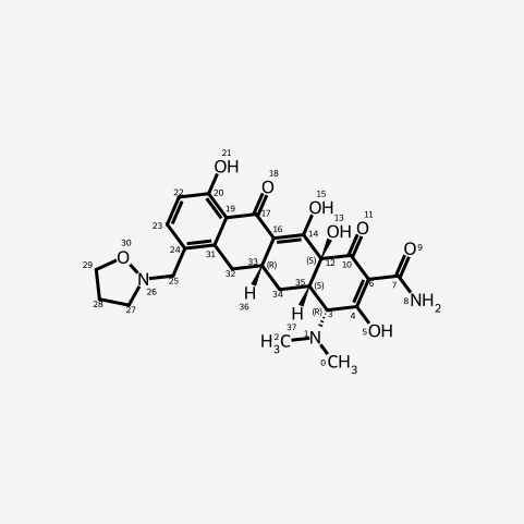 CN(C)[C@H]1C(O)=C(C(N)=O)C(=O)[C@@]2(O)C(O)=C3C(=O)c4c(O)ccc(CN5CCCO5)c4C[C@H]3C[C@@H]12